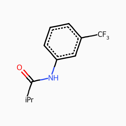 CC(C)C(=O)Nc1cccc(C(F)(F)F)c1